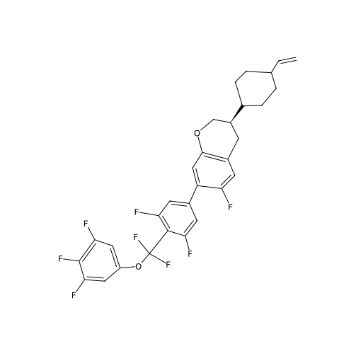 C=CC1CCC([C@@H]2COc3cc(-c4cc(F)c(C(F)(F)Oc5cc(F)c(F)c(F)c5)c(F)c4)c(F)cc3C2)CC1